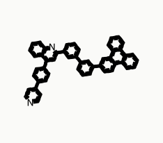 c1cc(-c2cccc(-c3cc(-c4ccc(-c5ccncc5)cc4)c4ccccc4n3)c2)cc(-c2ccc3c4ccccc4c4ccccc4c3c2)c1